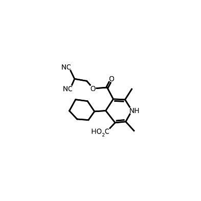 CC1=C(C(=O)O)C(C2CCCCC2)C(C(=O)OCC(C#N)C#N)=C(C)N1